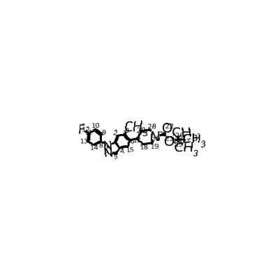 Cc1cc2c(cnn2-c2ccc(F)cc2)cc1C1CCN(C(=O)OC(C)(C)C)CC1